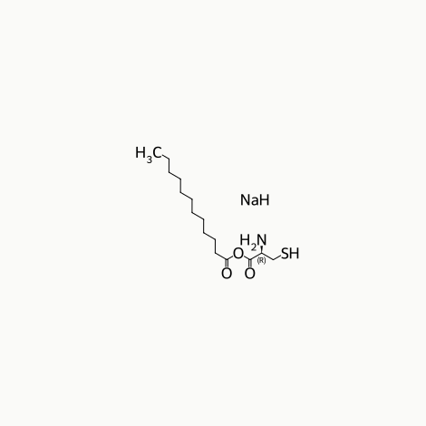 CCCCCCCCCCCC(=O)OC(=O)[C@@H](N)CS.[NaH]